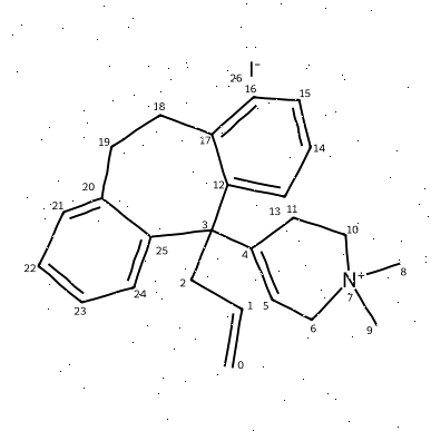 C=CCC1(C2=CC[N+](C)(C)CC2)c2ccccc2CCc2ccccc21.[I-]